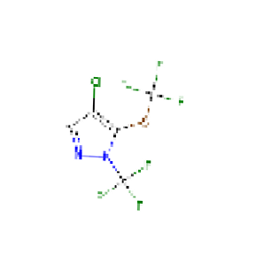 FC(F)(F)Sc1c(Cl)[c]nn1C(F)(F)F